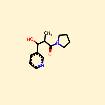 CC(C(=O)N1CCCC1)C(O)c1cccnc1